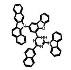 c1ccc2cc(C3=NC(c4cc(-n5c6cc7ccccc7cc6c6ccc7ccccc7c65)cc5c4oc4ccccc45)NC(n4c5ccccc5c5ccccc54)=N3)ccc2c1